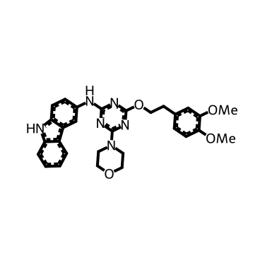 COc1ccc(CCOc2nc(Nc3ccc4[nH]c5ccccc5c4c3)nc(N3CCOCC3)n2)cc1OC